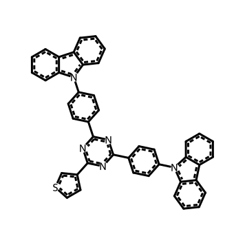 c1ccc2c(c1)c1ccccc1n2-c1ccc(-c2nc(-c3ccc(-n4c5ccccc5c5ccccc54)cc3)nc(-c3ccsc3)n2)cc1